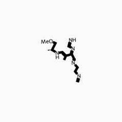 C=NCC/N=C/C(=N/C=N)C(/C)=C/N[C@H](C)COC